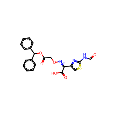 O=CNc1nc(/C(=N/OCC(=O)OC(c2ccccc2)c2ccccc2)C(=O)O)cs1